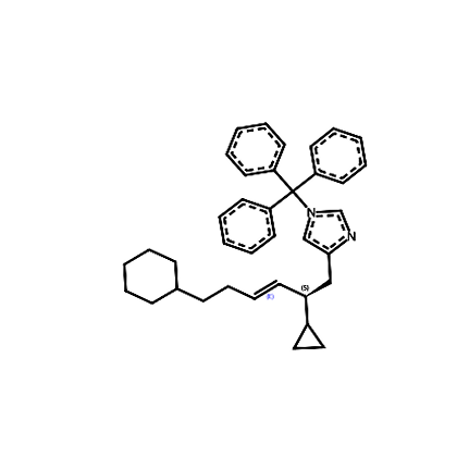 C(=C\[C@@H](Cc1cn(C(c2ccccc2)(c2ccccc2)c2ccccc2)cn1)C1CC1)/CCC1CCCCC1